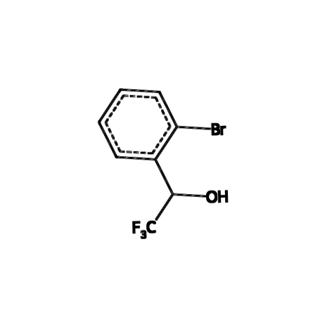 OC(c1ccccc1Br)C(F)(F)F